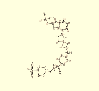 CS(=O)(=O)N1CCC(CNC(=O)c2ccc(NC3CC4(CCN(c5ncnc6sc(CC(F)(F)F)cc56)C4)C3)cc2)CC1